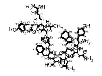 CC(C)C[C@@H](C(=O)N[C@@H](CCCNC(=N)N)C(=O)N[C@@H](Cc1ccc(O)cc1)C(N)=O)n1cc(CNC(=O)[C@H](Cc2ccccc2)NC(=O)[C@H](CO)NC(=O)[C@H](CC(N)=O)NC(=O)[C@H](Cc2c[nH]c3ccccc23)NC(=O)[C@H](CC(N)=O)NC(=O)[C@@H](N)Cc2ccc(O)cc2)nn1